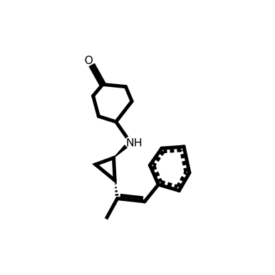 CC(=Cc1ccccc1)[C@@H]1C[C@H]1NC1CCC(=O)CC1